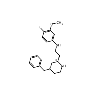 COc1cc(NCC[C@@H]2CN(Cc3ccccc3)CCN2)ccc1F